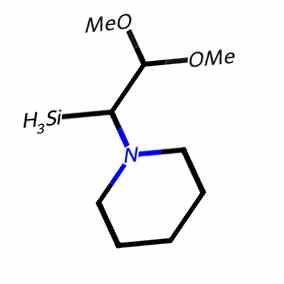 COC(OC)C([SiH3])N1CCCCC1